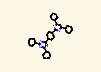 c1ccc(-c2cc(-c3ccccc3)nc(-c3ccc(-c4nc(-c5ccccc5)nc(-c5ccccc5)n4)cc3)n2)cc1